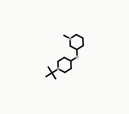 CN1CCCC(OC2CCN(C(C)(C)C)CC2)C1